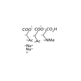 CC(=O)CC(=O)[O-].CC(=O)CC(=O)[O-].CNCC(=O)O.[Na+].[Na+]